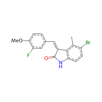 COc1ccc(C=C2C(=O)Nc3ccc(Br)c(C)c32)cc1F